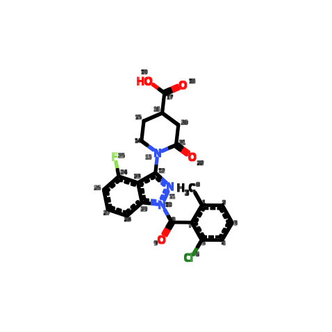 Cc1cccc(Cl)c1C(=O)n1nc(N2CCC(C(=O)O)CC2=O)c2c(F)cccc21